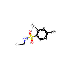 CC(C)c1ccc(S(=O)(=O)NCC(F)(F)F)c(C(F)(F)F)c1